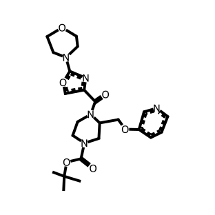 CC(C)(C)OC(=O)N1CCN(C(=O)c2coc(N3CCOCC3)n2)C(COc2cccnc2)C1